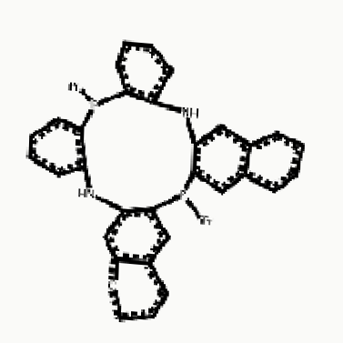 CC(C)P1c2ccccc2Nc2cc3ccccc3cc2P(C(C)C)c2cc3ccccc3cc2Nc2ccccc21